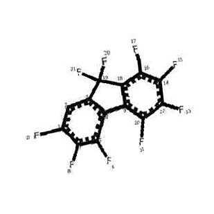 Fc1[c]c2c(c(F)c1F)-c1c(F)c(F)c(F)c(F)c1C2(F)F